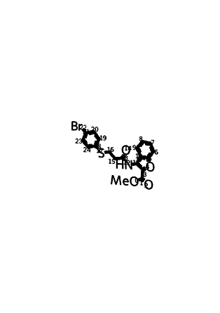 COC(=O)c1oc2ccccc2c1NC(=O)CCSc1ccc(Br)cc1